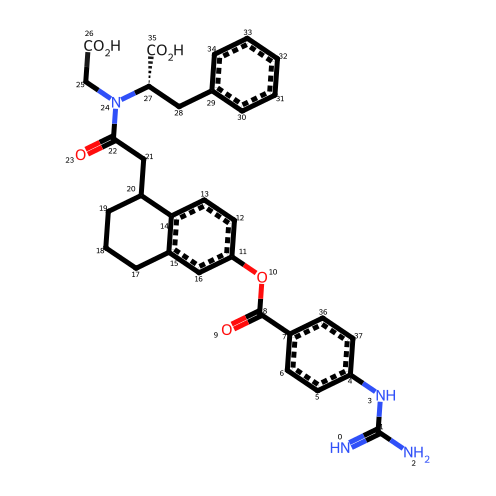 N=C(N)Nc1ccc(C(=O)Oc2ccc3c(c2)CCCC3CC(=O)N(CC(=O)O)[C@@H](Cc2ccccc2)C(=O)O)cc1